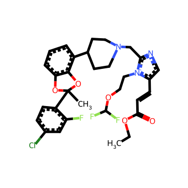 CCOC(=O)C=Cc1cnc(CN2CCC(c3cccc4c3OC(C)(c3ccc(Cl)cc3F)O4)CC2)n1CCOC(F)F